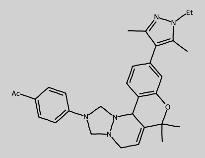 CCn1nc(C)c(-c2ccc3c(c2)OC(C)(C)C2=CCN4CN(c5ccc(C(C)=O)cc5)CN4C23)c1C